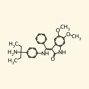 CCC(N)(CC)c1ccc(N/C(=C2\C(=O)Nc3cc(OC)c(OC)cc32)c2ccccc2)cc1